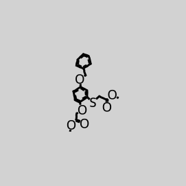 COC(=O)COc1ccc(OCc2ccccc2)cc1SCC(=O)OC